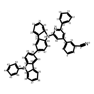 N#Cc1cccc(-c2cc(-c3ccccc3)nc(-n3c4ccccc4c4cc(-c5ccc6c(c5)c5ccccc5n6-c5ccccc5)ccc43)c2)c1